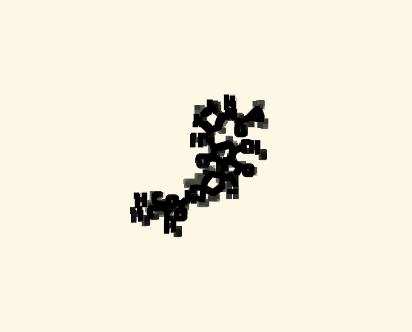 Cc1cc(Nc2cc(NC(=O)C3CC3)ncn2)c(=O)n2c1C(=O)NC21CCC2(CC1)CN(C(=O)OC(C)(C)C)C2